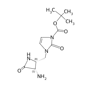 CC(C)(C)OC(=O)n1ccn(C[C@H]2NC(=O)[C@H]2N)c1=O